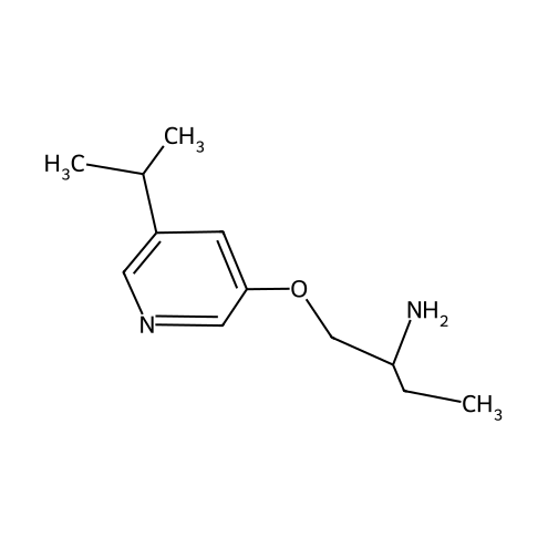 CCC(N)COc1cncc(C(C)C)c1